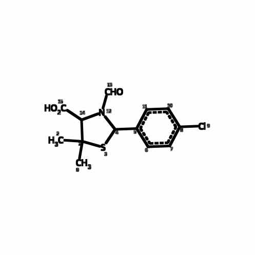 CC1(C)SC(c2ccc(Cl)cc2)N(C=O)C1C(=O)O